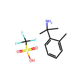 Cc1ccccc1C(C)(C)N.O=S(=O)(O)C(F)(F)F